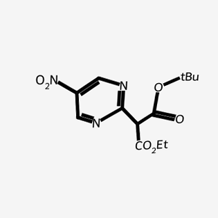 CCOC(=O)C(C(=O)OC(C)(C)C)c1ncc([N+](=O)[O-])cn1